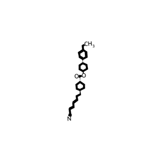 CCc1ccc([C@H]2CC[C@H](OC(=O)[C@H]3CC[C@H](CCC=CC=CC#N)CC3)CC2)cc1